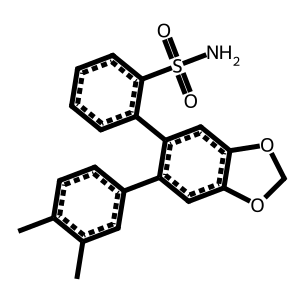 Cc1ccc(-c2cc3c(cc2-c2ccccc2S(N)(=O)=O)OCO3)cc1C